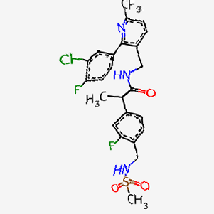 CC(C(=O)NCc1ccc(C(F)(F)F)nc1-c1ccc(F)c(Cl)c1)c1ccc(CNS(C)(=O)=O)c(F)c1